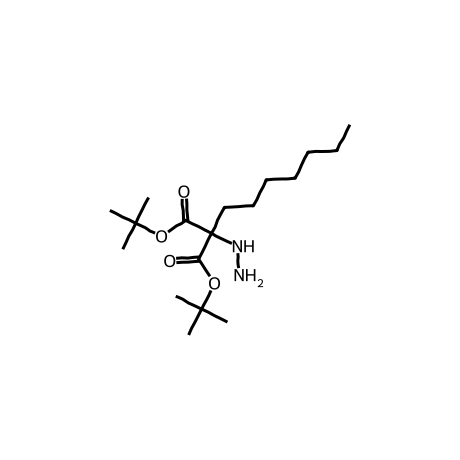 CCCCCCCC(NN)(C(=O)OC(C)(C)C)C(=O)OC(C)(C)C